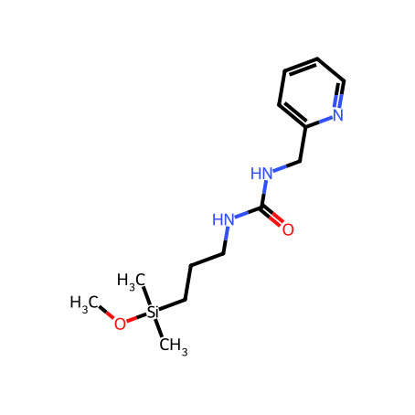 CO[Si](C)(C)CCCNC(=O)NCc1ccccn1